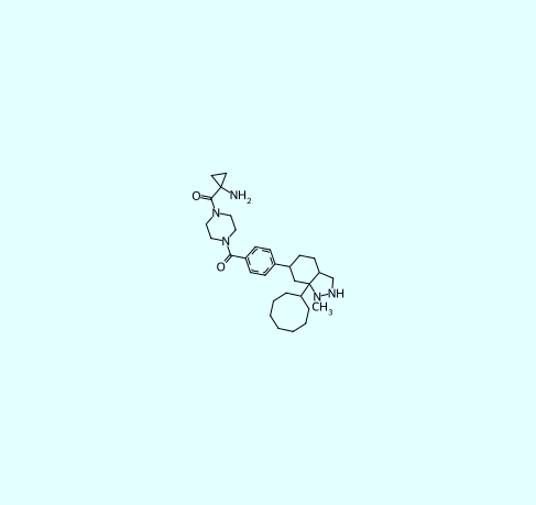 CN1NCC2CCC(c3ccc(C(=O)N4CCN(C(=O)C5(N)CC5)CC4)cc3)CC21C1CCCCCCC1